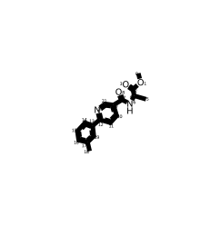 COC(=O)C(C)NC(=O)c1ccc(-c2cccc(C)c2)nc1